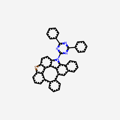 c1ccc(-c2nc(-c3ccccc3)nc(-n3c4ccc5sc6cccc7c8ccccc8c8cc9ccccc9c3c8c4c5c67)n2)cc1